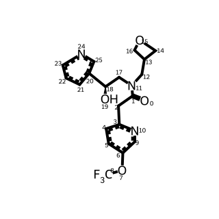 O=C(Cc1ccc(OC(F)(F)F)cn1)N(CC1COC1)C[C@@H](O)c1cccnc1